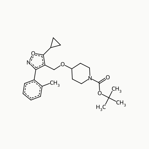 Cc1ccccc1-c1noc(C2CC2)c1COC1CCN(C(=O)OC(C)(C)C)CC1